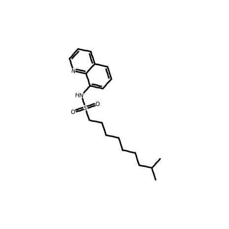 CC(C)CCCCCCCS(=O)(=O)Nc1cccc2cccnc12